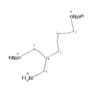 CCCCCCCCCCCCC(CN)CCCCCCCCCC